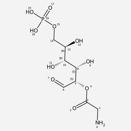 NCC(=O)O[C@H](C=O)[C@@H](O)[C@H](O)[C@H](O)COP(=O)(O)O